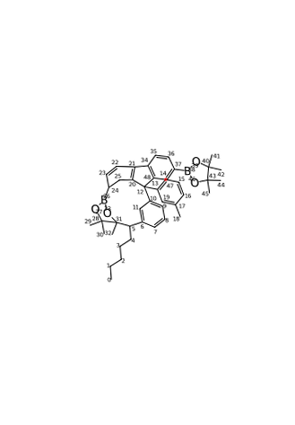 CCCCCC1c2cccc(c2)C2(c3cccc(C)c3)C3=C(C=CC(C3)B3OC(C)(C)C1(C)O3)c1ccc(B3OC(C)(C)C(C)(C)O3)cc12